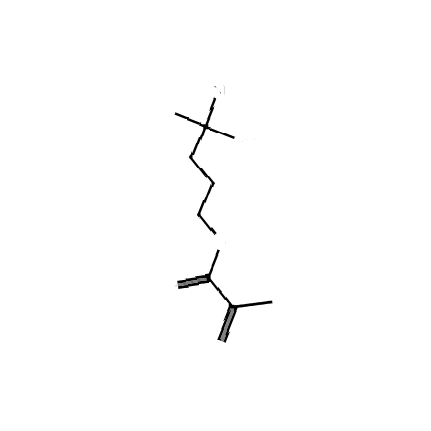 C=C(C)C(=O)OCCCC(N)(CC)S(=O)(=O)O